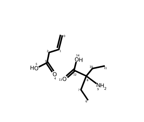 C=CCC(=O)O.CCC(N)(CC)C(=O)O